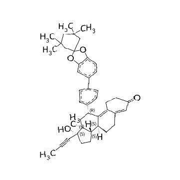 CC#C[C@]1(O)CC[C@H]2[C@@H]3CCC4=CC(=O)CCC4=C3[C@@H](c3ccc(-c4ccc5c(c4)OC4(CC(C)(C)CC(C)(C)C4)O5)cc3)C[C@@]21C